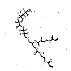 C=CC(=O)OCCNC(=O)OCC(COCC(F)(F)C(F)(F)OC(F)C(F)(F)OC(F)(F)C(F)(F)C(F)(F)C(F)(F)F)OC(=O)NCCOC(=O)C=C